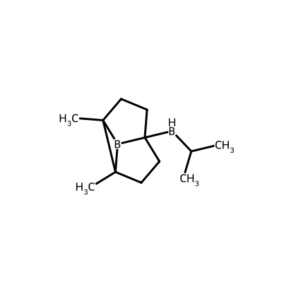 CC(C)BC12CCC3(C)B1C3(C)CC2